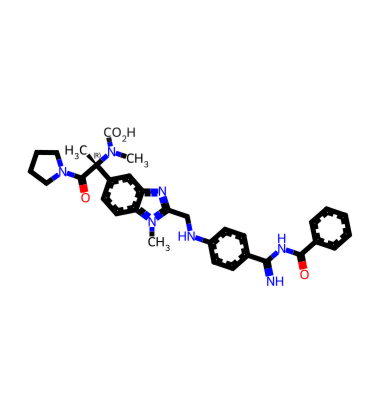 CN(C(=O)O)[C@@](C)(C(=O)N1CCCC1)c1ccc2c(c1)nc(CNc1ccc(C(=N)NC(=O)c3ccccc3)cc1)n2C